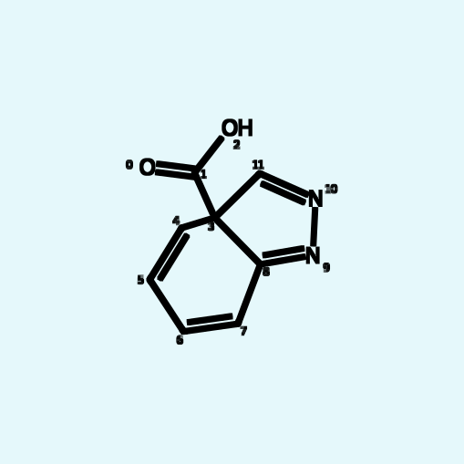 O=C(O)C12C=CC=CC1=NN=C2